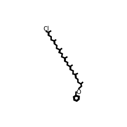 C/C(=C\CC/C(C)=C/CC/C(C)=C/CC/C(C)=C/CC/C(C)=C/CC/C(C)=C/CCC(C)CCOCc1ccccc1)CCl